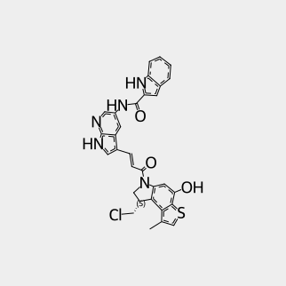 Cc1csc2c(O)cc3c(c12)[C@H](CCl)CN3C(=O)C=Cc1c[nH]c2ncc(NC(=O)c3cc4ccccc4[nH]3)cc12